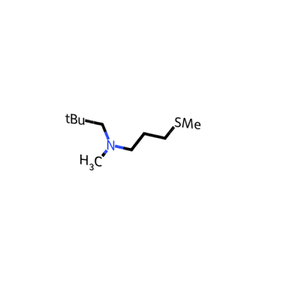 CSCCCN(C)CC(C)(C)C